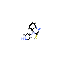 S=C1CNc2ccccc2N1C1CCNCC1